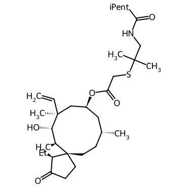 C=C[C@@]1(C)C[C@@H](OC(=O)CSC(C)(C)CNC(=O)C(C)CCC)C[C@H](C)CC[C@]2(CCC(=O)[C@H]2CC)[C@@H](C)[C@@H]1O